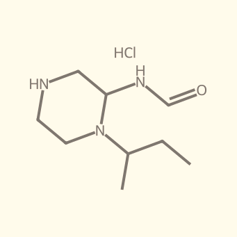 CCC(C)N1CCNCC1NC=O.Cl